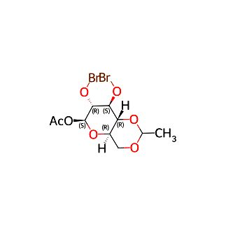 CC(=O)O[C@@H]1O[C@@H]2COC(C)O[C@H]2[C@H](OBr)[C@H]1OBr